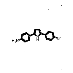 Nc1ccc(-c2ccc(-c3ccc(Br)cc3)[nH]2)cc1